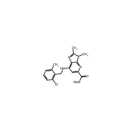 CCc1cccc(C)c1CNc1cc(C(=O)NC)nc2c1nc(C)n2C